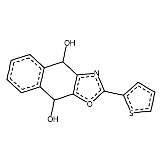 OC1c2ccccc2C(O)c2oc(-c3cccs3)nc21